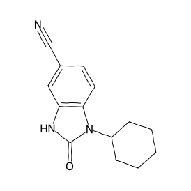 N#Cc1ccc2c(c1)[nH]c(=O)n2C1CCCCC1